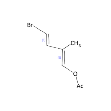 CC(=O)O/C=C(C)/C=C/Br